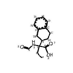 CCC(NC=O)(C(=O)O)C1CCc2ccccc2C1